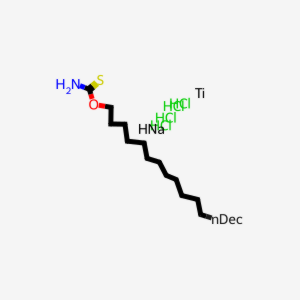 CCCCCCCCCCCCCCCCCCCCCCOC(N)=S.Cl.Cl.Cl.Cl.[NaH].[Ti]